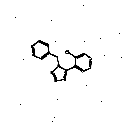 Clc1ccccc1-c1nnnn1Cc1ccncc1